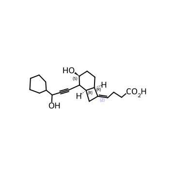 O=C(O)CC/C=C1/C[C@H]2C(C#CC(O)C3CCCCC3)[C@@H](O)CC[C@@H]12